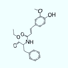 CCOC(=O)C(Cc1ccccc1)NC(=O)C=Cc1ccc(O)c(OC)c1